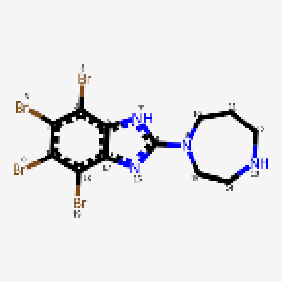 Brc1c(Br)c(Br)c2[nH]c(N3CCCNCC3)nc2c1Br